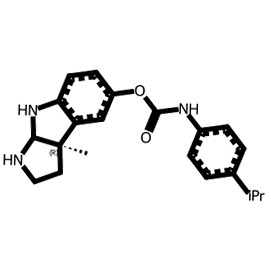 CC(C)c1ccc(NC(=O)Oc2ccc3c(c2)[C@@]2(C)CCNC2N3)cc1